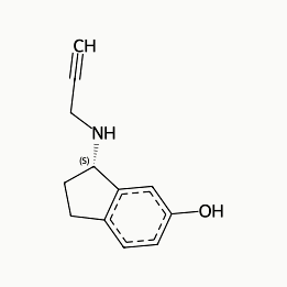 C#CCN[C@H]1CCc2ccc(O)cc21